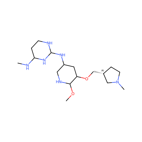 CNC1CCNC(NC2CNC(OC)C(OC[C@@H]3CCN(C)C3)C2)N1